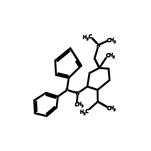 CC(C)C1CCC(C)(CN(C)C)CC1N(C)P(c1ccccc1)c1ccccc1